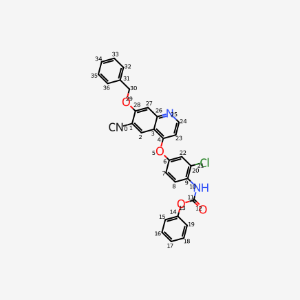 [C-]#[N+]c1cc2c(Oc3ccc(NC(=O)Oc4ccccc4)c(Cl)c3)ccnc2cc1OCc1ccccc1